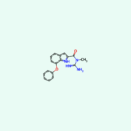 CN(C(=N)N)C(=O)c1cc2cccc(Oc3ccccc3)c2[nH]1